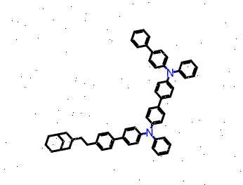 c1ccc(-c2ccc(N(c3ccccc3)c3ccc(-c4ccc(N(c5ccccc5)c5ccc(-c6ccc(CCC7CC8CCCC(C8)C7)cc6)cc5)cc4)cc3)cc2)cc1